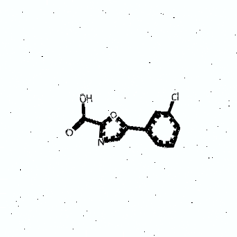 O=C(O)c1ncc(-c2cccc(Cl)c2)o1